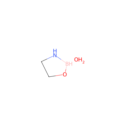 B1NCCO1.O